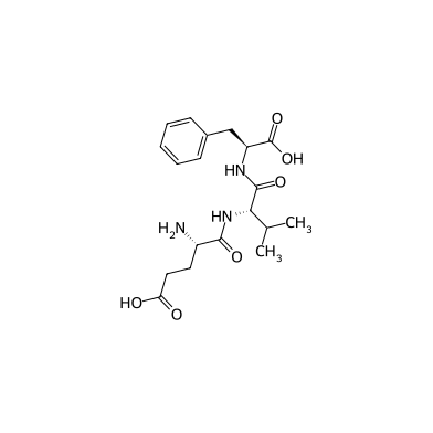 CC(C)[C@H](NC(=O)[C@@H](N)CCC(=O)O)C(=O)N[C@@H](Cc1ccccc1)C(=O)O